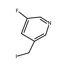 Fc1cncc(CI)c1